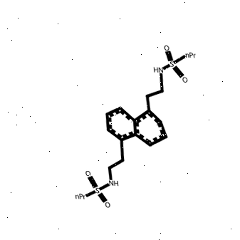 CCCS(=O)(=O)NCCc1cccc2c(CCNS(=O)(=O)CCC)cccc12